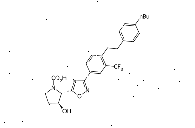 CCCCc1ccc(CCc2ccc(-c3noc([C@@H]4[C@@H](O)CCN4C(=O)O)n3)cc2C(F)(F)F)cc1